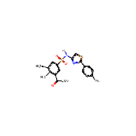 CCN(c1csc(-c2ccc(C(C)(C)C)cc2)n1)S(=O)(=O)c1cc(C)c(C)c(C(=O)OC)c1